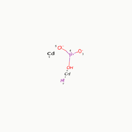 I.[Cd].[Cd].[O-][I+2]([O-])O